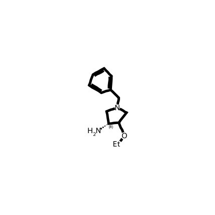 CCOC1CN(Cc2ccccc2)C[C@H]1N